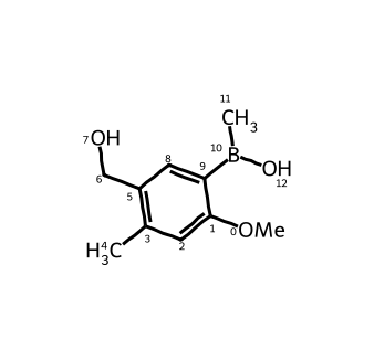 COc1cc(C)c(CO)cc1B(C)O